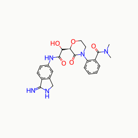 CN(C)C(=O)c1ccccc1N1CCO[C@H](C(O)C(=O)Nc2ccc3c(c2)CNC3=N)C1=O